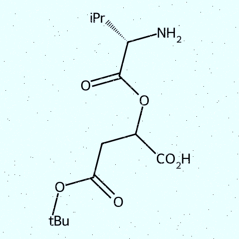 CC(C)[C@H](N)C(=O)OC(CC(=O)OC(C)(C)C)C(=O)O